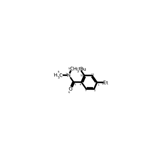 CCc1ccc(C(=O)N(C)C)c(C(C)(C)C)c1